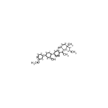 C=C(c1ncc(-c2ccc(-c3ccnc(OC)c3)cc2O)nn1)[C@@H]1C[C@](C)(CCC)C=C[C@@H]1F